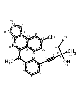 CN(c1cccc(C#C[C@@](C)(O)CF)c1)c1nc2nncn2c2cc(Cl)ccc12